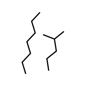 CCCC(C)C.CCCCCCC